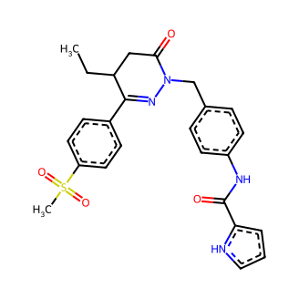 CCC1CC(=O)N(Cc2ccc(NC(=O)c3ccc[nH]3)cc2)N=C1c1ccc(S(C)(=O)=O)cc1